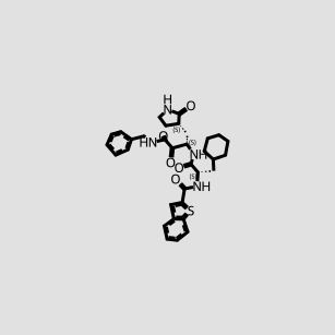 O=C(NCc1ccccc1)C(=O)[C@H](C[C@@H]1CCNC1=O)NC(=O)[C@H](CC1CCCCC1)NC(=O)c1cc2ccccc2s1